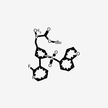 CN(Cc1cc(-c2cccnc2F)n(S(=O)(=O)c2cccc3occc23)c1)C(=O)OC(C)(C)C